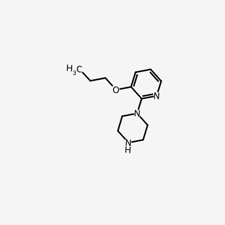 CCCOc1cccnc1N1CCNCC1